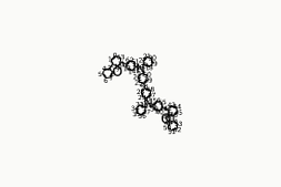 C1=CC2c3ccccc3OC2C(c2ccc(N(c3ccccc3)C3C=CC(c4ccc(N(c5ccccc5)c5ccc(-c6cccc7c6oc6ccccc67)cc5)cc4)=CC3)cc2)C1